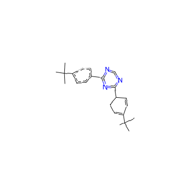 CC(C)(C)C1=CCC(c2ncnc(-c3ccc(C(C)(C)C)cc3)n2)C=C1